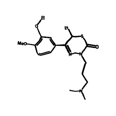 CCOc1cc(C2=NN(CCCN(C)C)C(=O)SC2CC)ccc1OC